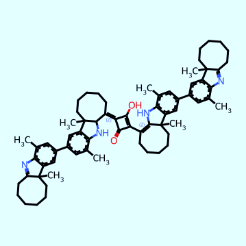 Cc1cc(-c2cc(C)c3c(c2)C2(C)CCCCC/C(C4=C(O)/C(=C5\CCCCCC6(C)c7cc(-c8cc(C)c9c(c8)C8(C)CCCCCCC8=N9)cc(C)c7NC56)C4=O)=C\2N3)cc2c1N=C1CCCCCCC12C